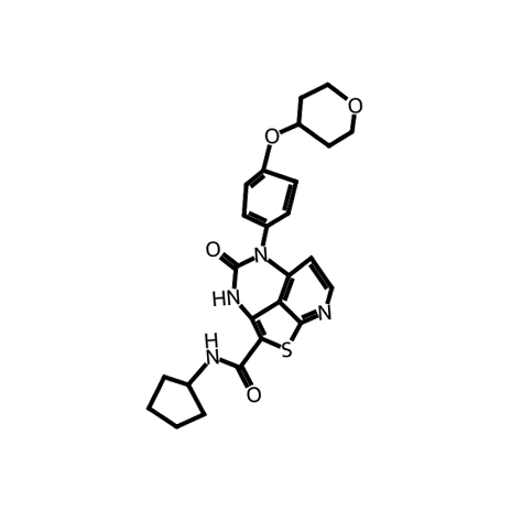 O=C(NC1CCCC1)c1sc2nccc3c2c1NC(=O)N3c1ccc(OC2CCOCC2)cc1